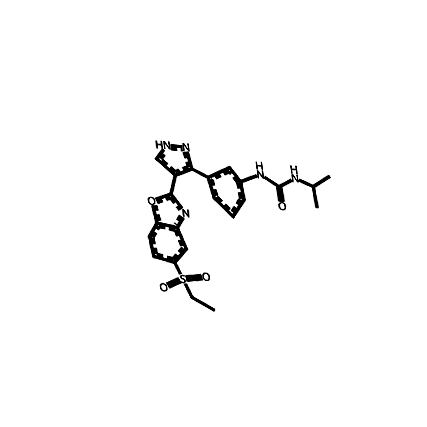 CCS(=O)(=O)c1ccc2oc(-c3c[nH]nc3-c3cccc(NC(=O)NC(C)C)c3)nc2c1